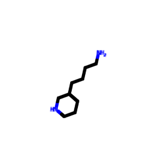 NCCCCC1CCCNC1